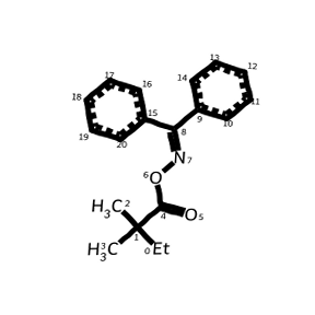 CCC(C)(C)C(=O)ON=C(c1ccccc1)c1ccccc1